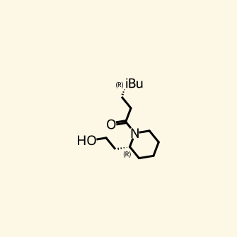 CC[C@@H](C)CCC(=O)N1CCCC[C@@H]1CCO